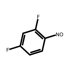 O=Nc1ccc(F)cc1F